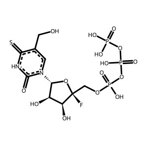 O=c1[nH]c(=S)c(CO)cn1[C@@H]1O[C@](F)(COP(=O)(O)OP(=O)(O)OP(=O)(O)O)[C@@H](O)[C@H]1O